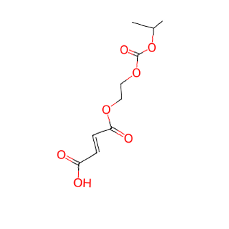 CC(C)OC(=O)OCCOC(=O)C=CC(=O)O